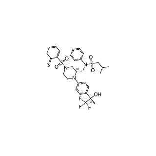 CC(C)CS(=O)(=O)N(C[C@H]1CN(S(=O)(=O)C2=CC=CCC2=S)CCN1c1ccc([C@](C)(O)C(F)(F)F)cc1)c1ccccc1